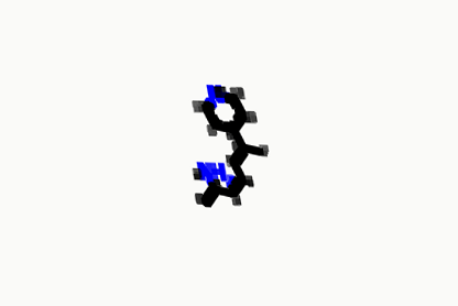 C=C(N)/C=C\C=C(/C)c1ccncc1